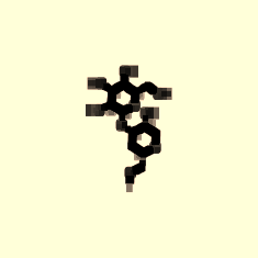 OC[C@H]1O[C@H](O[C@H]2C[C@@H](COI)OC[C@H]2O)[C@@H](O)[C@@H](O)C1O